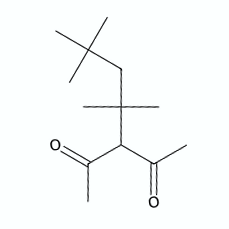 CC(=O)C(C(C)=O)C(C)(C)CC(C)(C)C